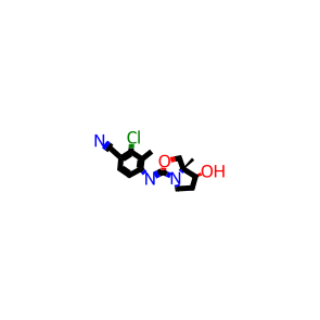 Cc1c(/N=C2\OC[C@]3(C)[C@@H](O)CCN23)ccc(C#N)c1Cl